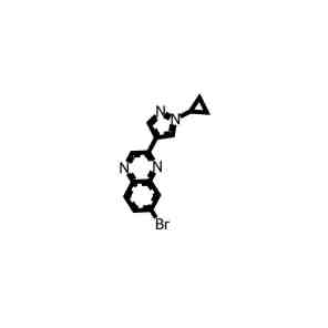 Brc1ccc2ncc(-c3cnn(C4CC4)c3)nc2c1